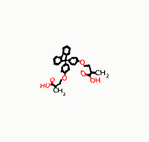 C=C(CCOc1ccc(C2(c3ccc(OCCC(=C)C(=O)O)cc3)c3ccccc3-c3ccccc32)cc1)C(=O)O